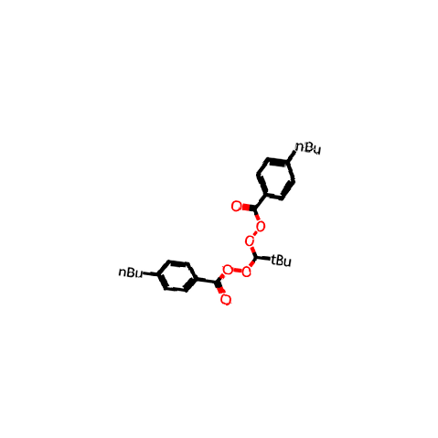 [CH2]C(C)(C)[C](OOC(=O)c1ccc(CCCC)cc1)OOC(=O)c1ccc(CCCC)cc1